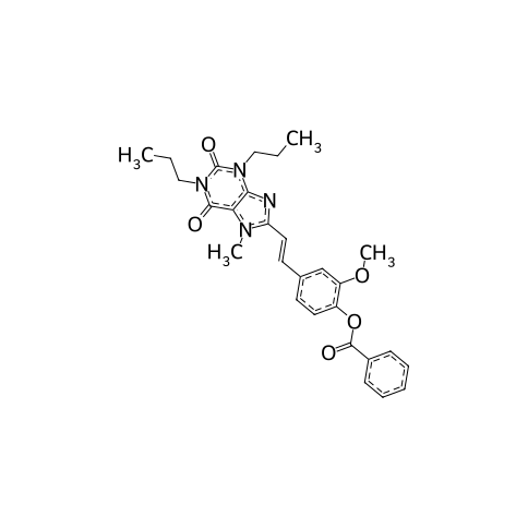 CCCn1c(=O)c2c(nc(C=Cc3ccc(OC(=O)c4ccccc4)c(OC)c3)n2C)n(CCC)c1=O